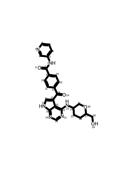 O=C(Nc1cccnc1)c1ccc(C(=O)c2c[nH]c3ncnc(NC4CCC(CO)OC4)c23)cc1